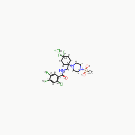 CCS(=O)(=O)N1CCN(C2(CNC(=O)c3cc(F)c(F)cc3Cl)CCC(F)(F)CC2)CC1.Cl